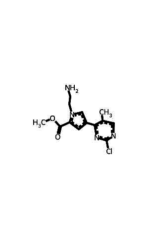 COC(=O)c1cc(-c2nc(Cl)ncc2C)cn1CCN